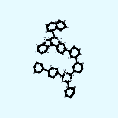 c1ccc(-c2ccc(-c3nc(-c4ccccc4)nc(-c4cccc(-c5cccc(-c6ccc7c(c6)nc(-c6cccc8ccccc68)c6sc8ccccc8c67)c5)c4)n3)cc2)cc1